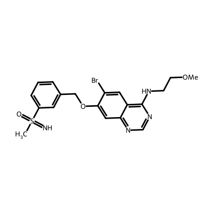 COCCNc1ncnc2cc(OCc3cccc(S(C)(=N)=O)c3)c(Br)cc12